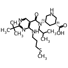 CSCCCNc1nc(C(C)(C)C)ncc1C(=O)N(CC(C)C)[C@@H]1CNC[C@H](C(=O)O)C1